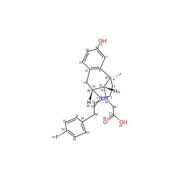 CN1CC[C@]2(C)c3cc(O)ccc3C[C@@H]1[C@H]2N(CCc1ccc(F)cc1)CC(=O)O